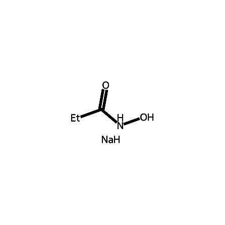 CCC(=O)NO.[NaH]